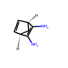 NC1=C(N)[C@H]2C=C[C@@H]1C2